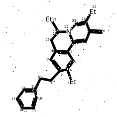 C=C1C=C2c3cc(CC)c(CCc4ccccc4)cc3CC(CC)N2C=C1CC